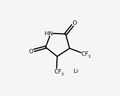 O=C1NC(=O)C(C(F)(F)F)C1C(F)(F)F.[Li]